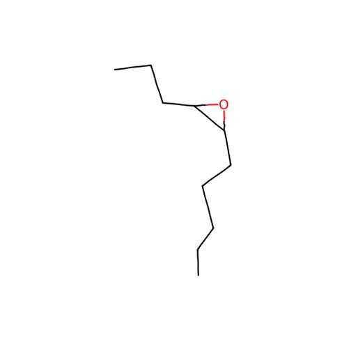 CCCCCC1OC1CCC